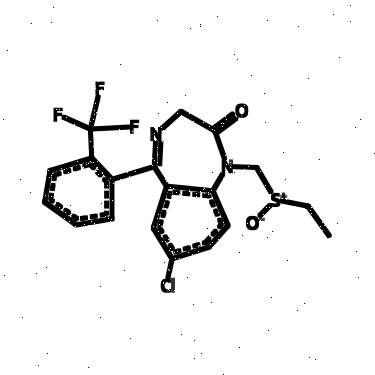 CC[S+]([O-])CN1C(=O)CN=C(c2ccccc2C(F)(F)F)c2cc(Cl)ccc21